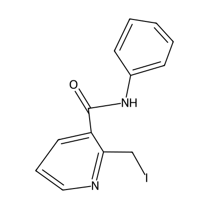 O=C(Nc1ccccc1)c1cccnc1CI